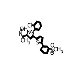 C/C(=N/O)c1cc(-c2ccc(-c3cccc(S(C)(=O)=O)c3)s2)n(-c2ccccc2Cl)n1